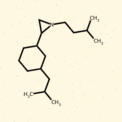 CC(C)CCN1CC1C1CCCC(CC(C)C)C1